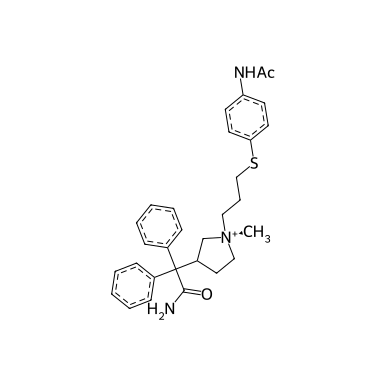 CC(=O)Nc1ccc(SCCC[N@+]2(C)CCC(C(C(N)=O)(c3ccccc3)c3ccccc3)C2)cc1